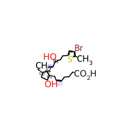 C=C[C@@H]1CC(O)[C@H](C/C=C\CCCC(=O)O)[C@H]1/C=C/[C@@H](O)CCc1cc(Br)c(C)s1